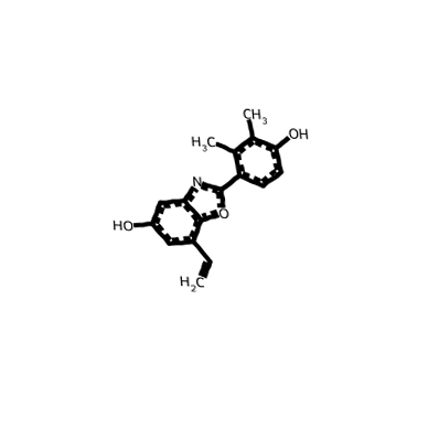 C=Cc1cc(O)cc2nc(-c3ccc(O)c(C)c3C)oc12